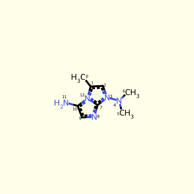 Cc1cn(N(C)C)c2ncc(N)n12